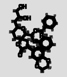 CC(C)(C)C(O[SiH](c1ccccc1)c1ccccc1)C1OC(CC(O)CO)CCC12CN(c1ccc3c(c1)OCCO3)C(=O)O2